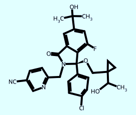 CC(O)C1(CO[C@]2(c3ccc(Cl)cc3)c3c(F)cc(C(C)(C)O)cc3C(=O)N2Cc2ccc(C#N)cn2)CC1